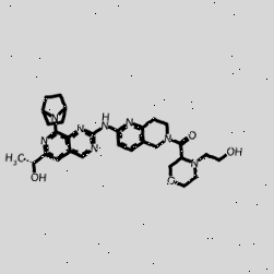 C[C@@H](O)c1cc2cnc(Nc3ccc4c(n3)CCN(C(=O)C3COCCN3CCO)C4)nc2c(N2C3CCC2CC3)n1